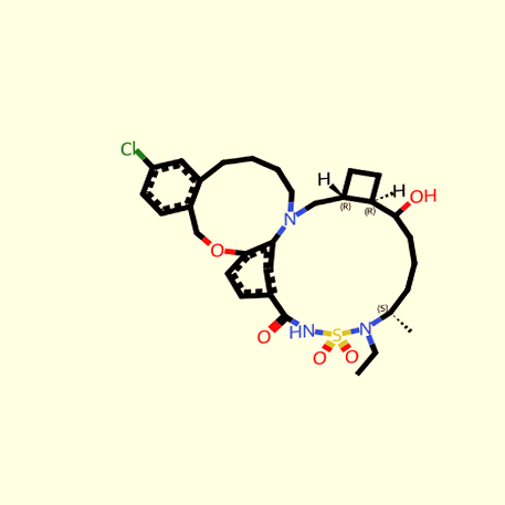 CCN1[C@@H](C)CCCC(O)[C@@H]2CC[C@H]2CN2CCCCc3cc(Cl)ccc3COc3ccc(cc32)C(=O)NS1(=O)=O